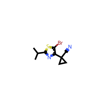 CC(C)c1nc(C2(C#N)CC2)c(Br)s1